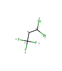 FC(F)(F)CC(Br)Br